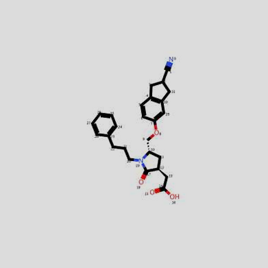 N#CC1Cc2ccc(OC[C@@H]3C[C@@H](CC(=O)O)C(=O)N3CCCc3ccccc3)cc2C1